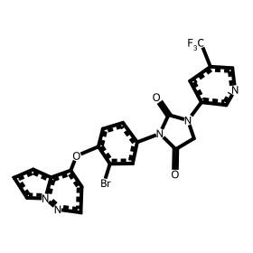 O=C1CN(c2cncc(C(F)(F)F)c2)C(=O)N1c1ccc(Oc2ccnn3cccc23)c(Br)c1